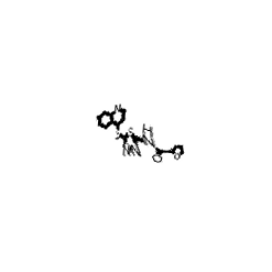 O=C(Nc1nnc(Sc2ccnc3ccccc23)s1)c1ccco1